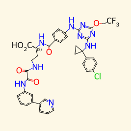 O=C(NCC[C@H](NC(=O)c1ccc(Nc2nc(NC3(c4ccc(Cl)cc4)CC3)nc(OCC(F)(F)F)n2)cc1)C(=O)O)C(=O)Nc1cccc(-c2cccnc2)c1